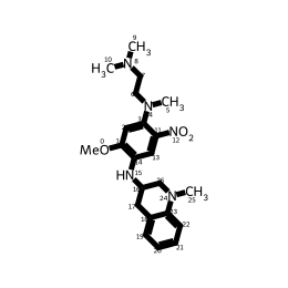 COc1cc(N(C)CCN(C)C)c([N+](=O)[O-])cc1NC1Cc2ccccc2N(C)C1